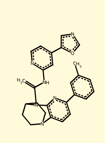 C=C(Nc1cc(-c2cnco2)ccn1)N1c2nc(-c3cccc(C)c3)ccc2N2CCC1CC2